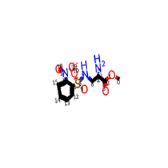 COC(=O)[C@@H](N)CNS(=O)(=O)c1ccccc1[N+](=O)[O-]